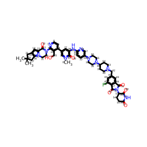 Cn1cc(-c2ccnc(N3CCn4c(cc5c4CC(C)(C)C5)C3=O)c2CO)cc(Nc2ccc(N3CCN(C4CCN(Cc5cc(F)c6c(c5)C(=O)N(C5CCC(=O)NC5=O)C6=O)CC4)CC3)cn2)c1=O